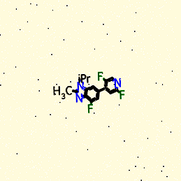 Cc1nc2c(F)cc(-c3cc(F)ncc3F)cc2n1C(C)C